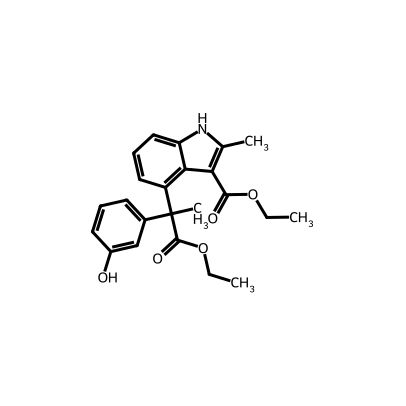 CCOC(=O)c1c(C)[nH]c2cccc(C(C)(C(=O)OCC)c3cccc(O)c3)c12